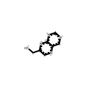 SCc1cnc2cncnc2n1